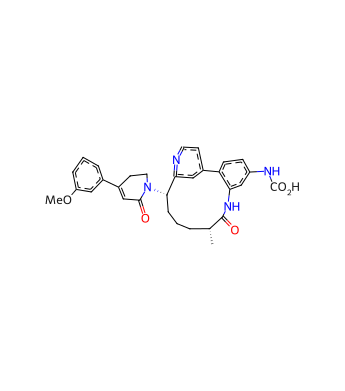 COc1cccc(C2=CC(=O)N([C@H]3CCC[C@@H](C)C(=O)Nc4cc(NC(=O)O)ccc4-c4ccnc3c4)CC2)c1